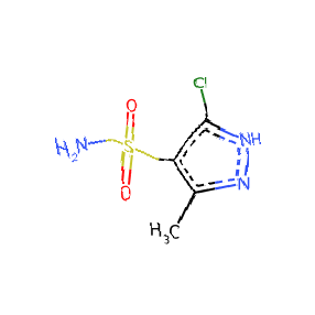 Cc1n[nH]c(Cl)c1S(N)(=O)=O